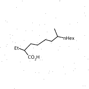 CCCCCCC(C)CCCCC(CC)C(=O)O